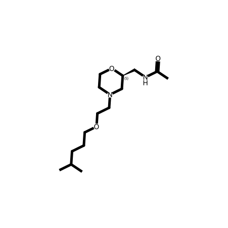 CC(=O)NC[C@H]1CN(CCOCCCC(C)C)CCO1